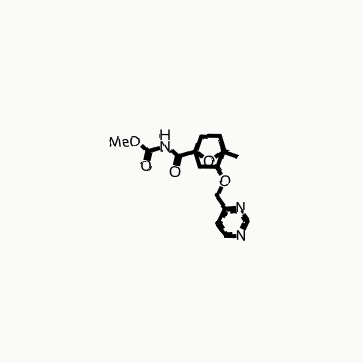 COC(=O)NC(=O)C12CCC(C)(O1)C(OCc1ccncn1)C2